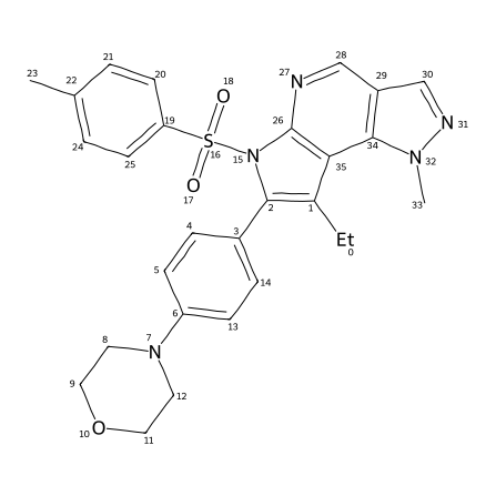 CCc1c(-c2ccc(N3CCOCC3)cc2)n(S(=O)(=O)c2ccc(C)cc2)c2ncc3cnn(C)c3c12